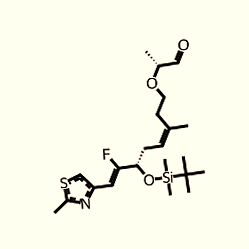 C/C(=C/C[C@H](O[Si](C)(C)C(C)(C)C)/C(F)=C/c1csc(C)n1)CCO[C@H](C)C=O